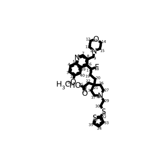 COc1ccc2ncc(CN3CCOCC3)c(C(F)CCC3(CC(=O)O)CCN(CCSc4cccs4)CC3)c2c1